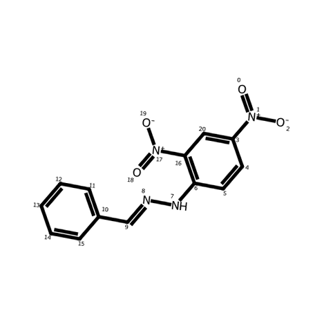 O=[N+]([O-])c1ccc(NN=Cc2ccccc2)c([N+](=O)[O-])c1